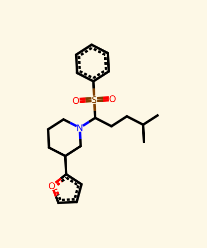 CC(C)CCC(N1CCCC(c2ccco2)C1)S(=O)(=O)c1ccccc1